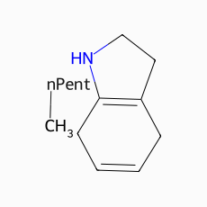 C1=CCC2=C(C1)CCN2.CCCCCC